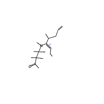 C=CCC(C)/C(=C/CC)N(C)C(C)(C)C(C)(C)C(C)=O